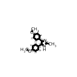 COc1ccc(-c2nc(C)[nH]c2-c2ccc(OC)cc2)cc1